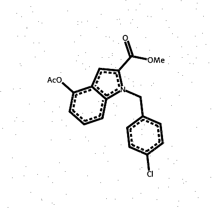 COC(=O)c1cc2c(OC(C)=O)cccc2n1Cc1ccc(Cl)cc1